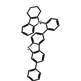 c1ccc(-c2ccc3c(c2)sc2ccc(-c4ccccc4-n4c5c(c6ccccc64)CCCC5)cc23)cc1